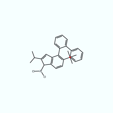 CC(C)C1=Cc2c(ccc(C(C)(C)C)c2-c2ccccc2-c2ccccc2)[CH]1[Zr]([Cl])[Cl]